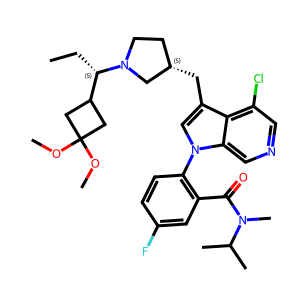 CC[C@@H](C1CC(OC)(OC)C1)N1CC[C@H](Cc2cn(-c3ccc(F)cc3C(=O)N(C)C(C)C)c3cncc(Cl)c23)C1